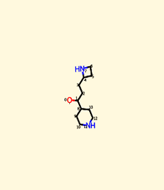 [O]C(CCC1CCN1)C1CCNCC1